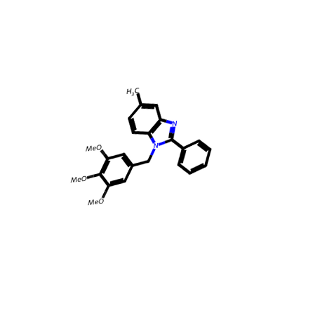 COc1cc(Cn2c(-c3ccccc3)nc3cc(C)ccc32)cc(OC)c1OC